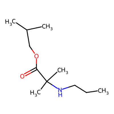 CCCNC(C)(C)C(=O)OCC(C)C